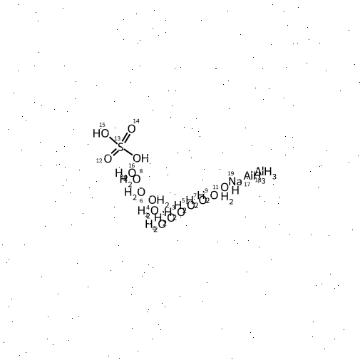 O.O.O.O.O.O.O.O.O.O.O.O.O=S(=O)(O)O.[AlH3].[AlH3].[NaH]